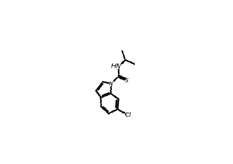 CC(C)NC(=S)n1ccc2ccc(Cl)cc21